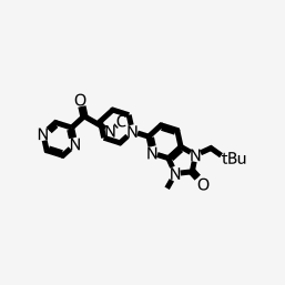 Cn1c(=O)n(CC(C)(C)C)c2ccc(N3CC4CCC3CN4C(=O)c3cnccn3)nc21